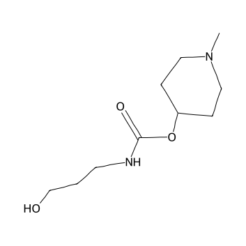 CN1CCC(OC(=O)NCCCO)CC1